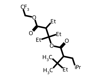 CCC(C(=O)OCC(F)(F)F)C(CC)(CC)OC(=O)C(CC(C)C)C(C)(C)CC